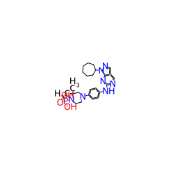 CC1(C)CN(c2ccc(Nc3ncc4cnn(C5CCCCCC5)c4n3)cc2)CCN1P(=O)(O)O